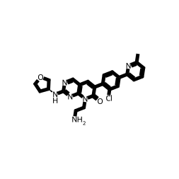 Cc1cccc(-c2ccc(-c3cc4cnc(N[C@@H]5CCOC5)nc4n(CCN)c3=O)c(Cl)c2)n1